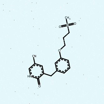 CS(=O)(=O)CCCOc1cccc(Cc2cc(C#N)c[nH]c2=O)c1